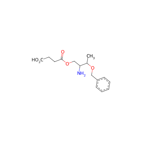 CC(OCc1ccccc1)C(N)COC(=O)CCC(=O)O